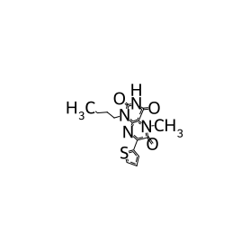 CCCCn1c(=O)[nH]c(=O)c2c1nc(-c1cccs1)c(=O)n2C